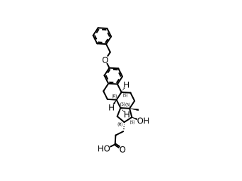 C[C@]12CC[C@@H]3c4ccc(OCc5ccccc5)cc4CC[C@H]3[C@@H]1C[C@@H](CCC(=O)O)[C@@H]2O